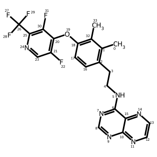 Cc1c(CCNc2ncnc3nccnc23)ccc(Oc2c(F)cnc(C(F)(F)F)c2F)c1C